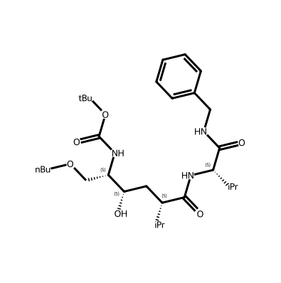 CCCCOC[C@H](NC(=O)OC(C)(C)C)[C@@H](O)C[C@H](C(=O)N[C@H](C(=O)NCc1ccccc1)C(C)C)C(C)C